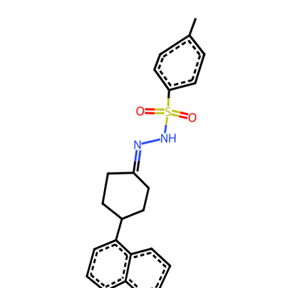 Cc1ccc(S(=O)(=O)NN=C2CCC(c3cccc4ccccc34)CC2)cc1